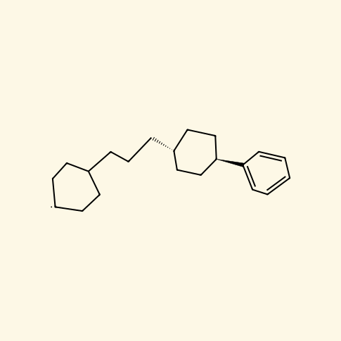 [CH]1CCC(CCC[C@H]2CC[C@H](c3ccccc3)CC2)CC1